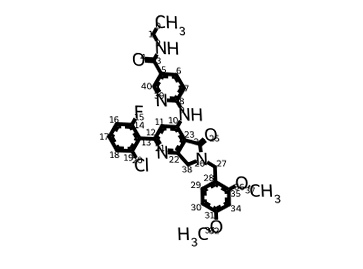 CCNC(=O)c1ccc(Nc2cc(-c3c(F)cccc3Cl)nc3c2C(=O)N(Cc2ccc(OC)cc2OC)C3)nc1